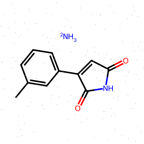 Cc1cccc(C2=CC(=O)NC2=O)c1.[2NH3]